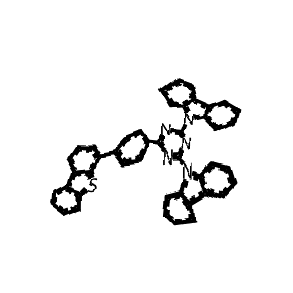 c1ccc2c(c1)sc1c(-c3ccc(-c4nc(-n5c6ccccc6c6ccccc65)nc(-n5c6ccccc6c6ccccc65)n4)cc3)cccc12